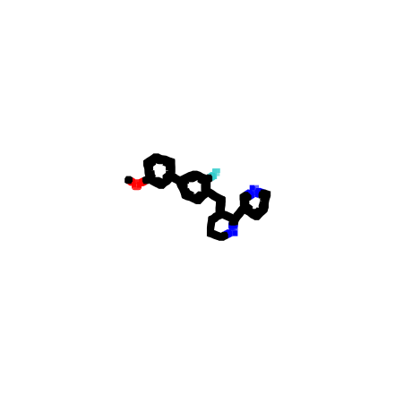 COc1cccc(-c2ccc(C=C3CCCN=C3c3cccnc3)c(F)c2)c1